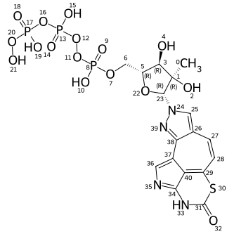 C[C@@]1(O)[C@H](O)[C@@H](COP(=O)(O)OOP(=O)(O)OP(=O)(O)OO)O[C@H]1n1cc2ccc3sc(=O)[nH]c4ncc(c2n1)c43